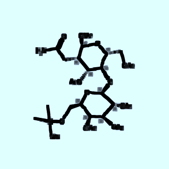 CO[C@H]1O[C@H](COC(C)=O)[C@@H](O[C@@H]2O[C@H](CO[Si](C)(C)C(C)(C)C)[C@H](OC(C)=O)[C@H](OC(C)=O)[C@H]2OC(C)=O)[C@H](OC(C)=O)[C@@H]1CC(N)=O